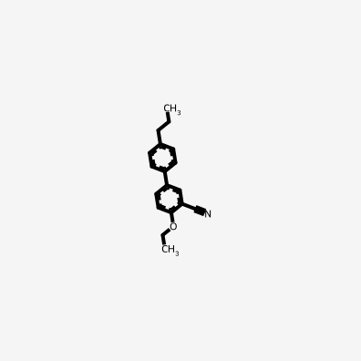 CCCc1ccc(-c2ccc(OCC)c(C#N)c2)cc1